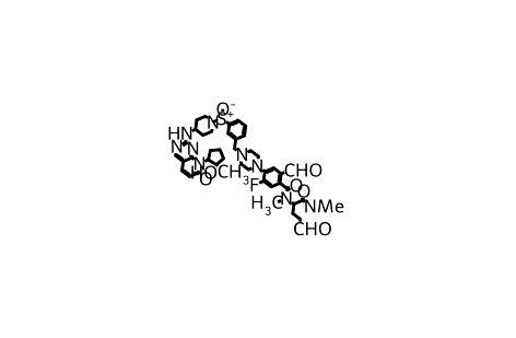 CNC(=O)C(CCC=O)N(C)C(=O)c1cc(F)c(N2CCN(Cc3cccc([S+]([O-])N4CCC(Nc5ncc6ccc(=O)n(C7CCCC7(C)O)c6n5)CC4)c3)CC2)cc1C=O